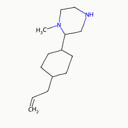 C=CCC1CCC(C2CNCCN2C)CC1